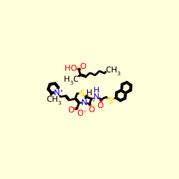 CCCCCC=C(C)C(=O)O.Cc1cccc[n+]1CC=CC1=C(C(=O)[O-])N2C(=O)[C@@H](NC(=O)CSc3ccc4ccccc4c3)[C@H]2SC1